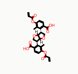 C=CC(=O)Oc1ccc(C(=O)O)c([C@H]2CO[C@H]3[C@@H]2OC[C@H]3c2c(C(=O)O)ccc(OC(=O)C=C)c2C)c1C